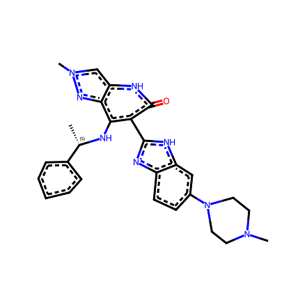 C[C@H](Nc1c(-c2nc3ccc(N4CCN(C)CC4)cc3[nH]2)c(=O)[nH]c2cn(C)nc12)c1ccccc1